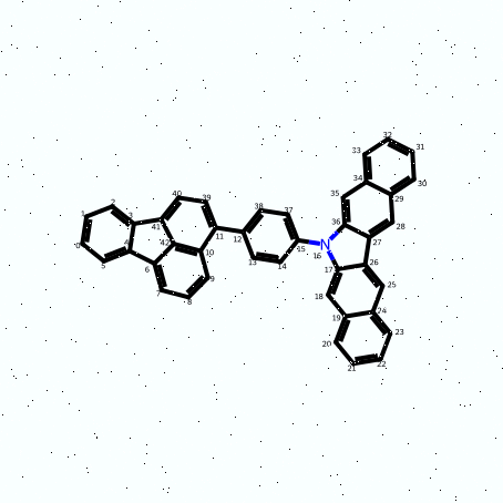 c1ccc2c(c1)-c1cccc3c(-c4ccc(-n5c6cc7ccccc7cc6c6cc7ccccc7cc65)cc4)ccc-2c13